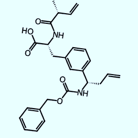 C=CC[C@H](NC(=O)OCc1ccccc1)c1cccc(C[C@@H](NC(=O)[C@H](C)C=C)C(=O)O)c1